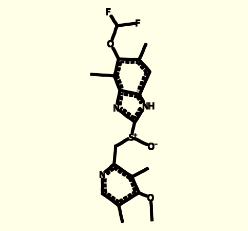 COc1c(C)cnc(C[S+]([O-])c2nc3c(C)c(OC(F)F)c(C)cc3[nH]2)c1C